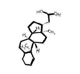 C[C@]12CC[C@H]3[C@@H](CCC4CCC=C[C@@]43C)[C@@H]1CC[C@@H]2CC(O)O